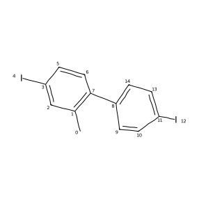 Cc1cc(I)ccc1-c1ccc(I)cc1